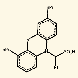 CCCc1ccc2c(c1)Sc1c(CCC)cccc1N2C(CC)S(=O)(=O)O